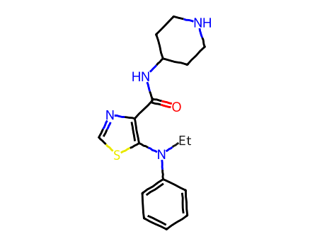 CCN(c1ccccc1)c1scnc1C(=O)NC1CCNCC1